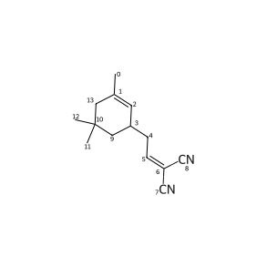 CC1=CC(CC=C(C#N)C#N)CC(C)(C)C1